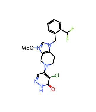 CO[n+]1cn(Cc2ccccc2C(F)F)c2c1CN(c1cn[nH]c(=O)c1Cl)CC2